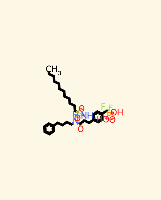 CCCCCCCCCCCCS(=O)(=O)NC(Cc1ccc(C(F)(F)P(=O)(O)O)cc1)C(=O)NCCCCc1ccccc1